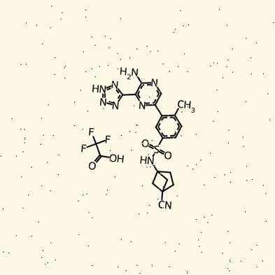 Cc1ccc(S(=O)(=O)NC23CCC(C#N)(C2)C3)cc1-c1cnc(N)c(-c2nn[nH]n2)n1.O=C(O)C(F)(F)F